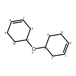 C1=CCC(OC2CC=CCC2)CC1